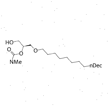 CCCCCCCCCCCCCCCCCCOC[C@H](CO)OC(=O)NC